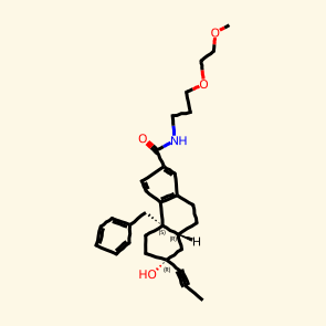 CC#C[C@@]1(O)CC[C@@]2(Cc3ccccc3)c3ccc(C(=O)NCCCOCCOC)cc3CC[C@@H]2C1